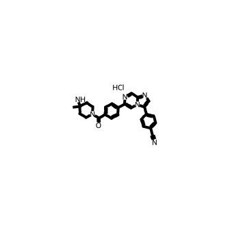 CC1(N)CCN(C(=O)c2ccc(-c3cn4c(-c5ccc(C#N)cc5)cnc4cn3)cc2)CC1.Cl